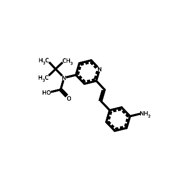 CC(C)(C)N(C(=O)O)c1ccnc(C=Cc2cccc(N)c2)c1